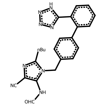 CCCCc1nc(C#N)c(NC=O)n1Cc1ccc(-c2ccccc2-c2nnn[nH]2)cc1